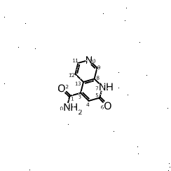 NC(=O)c1cc(=O)[nH]c2cnccc12